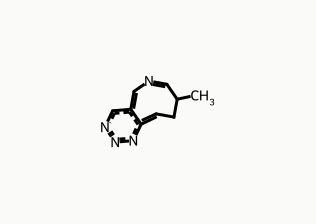 CC1\C=N/C=c2/cnnn/c2=C\C1